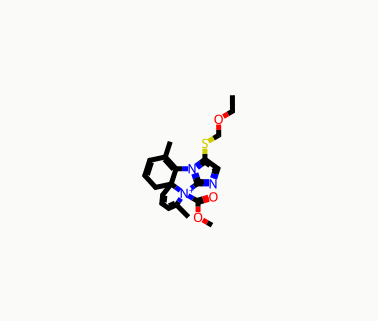 CCOCSc1cnc2n1C1=C(C)C=CCC13C=CC=C(C)[N+]23C(=O)OC